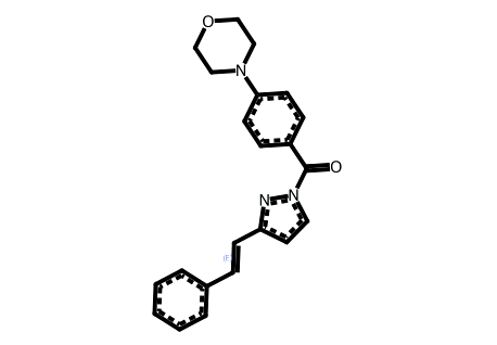 O=C(c1ccc(N2CCOCC2)cc1)n1ccc(/C=C/c2ccccc2)n1